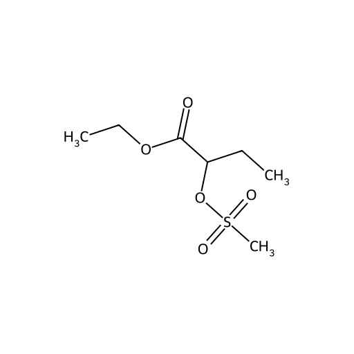 CCOC(=O)C(CC)OS(C)(=O)=O